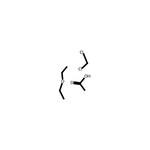 CC(=O)O.CCOCC.ClCCl